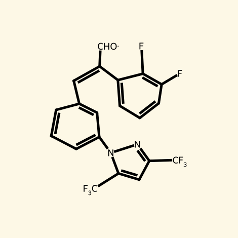 O=[C]C(=Cc1cccc(-n2nc(C(F)(F)F)cc2C(F)(F)F)c1)c1cccc(F)c1F